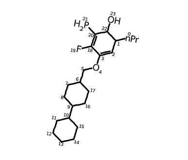 CCCC1C=C(OCC2CCC(C3CCCCC3)CC2)C(F)=C(P)C1O